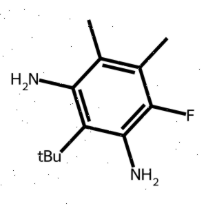 Cc1c(C)c(F)c(N)c(C(C)(C)C)c1N